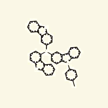 Cc1ccc(-n2c3ccccc3c3cc(N(c4ccc5sc6ccccc6c5c4)c4cccc5oc6ccccc6c45)ccc32)cc1